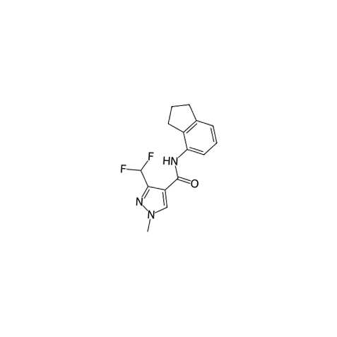 Cn1cc(C(=O)Nc2cccc3c2CCC3)c(C(F)F)n1